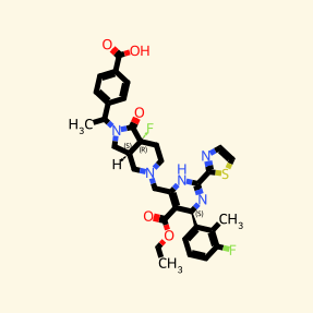 CCOC(=O)C1=C(CN2CC[C@]3(F)C(=O)N(C(C)c4ccc(C(=O)O)cc4)C[C@@H]3C2)NC(c2nccs2)=N[C@H]1c1cccc(F)c1C